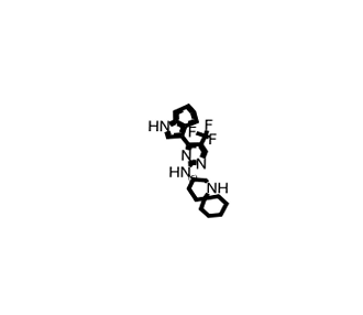 FC(F)(F)c1cnc(N[C@H]2CCC3(CCCCC3)NC2)nc1-c1c[nH]c2ccccc12